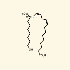 CCCCC/C=C\C/C=C\CCCCCCCC(=O)O.CCCCCCCCCCCCCCCCCCO